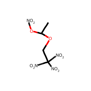 CC(OCC([N+](=O)[O-])([N+](=O)[O-])[N+](=O)[O-])O[N+](=O)[O-]